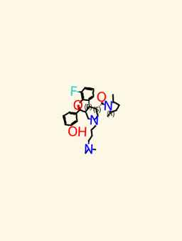 Cc1c(F)cccc1[C@@H]1C(C(=O)c2cccc(O)c2)CN(CCCCN(C)C)C[C@H]1C(=O)N1C(C)CC[C@H]1C